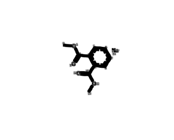 COC(=O)c1ccccc1C(=O)OC.[Na]